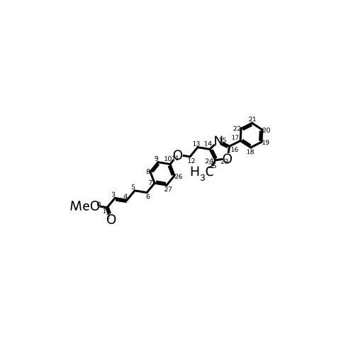 COC(=O)/C=C/CCc1ccc(OCCc2nc(-c3ccccc3)oc2C)cc1